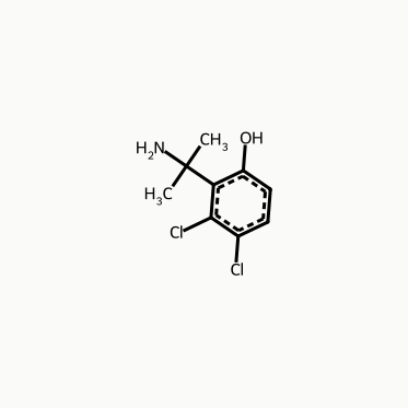 CC(C)(N)c1c(O)ccc(Cl)c1Cl